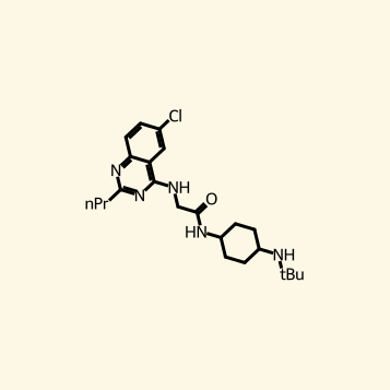 CCCc1nc(NCC(=O)NC2CCC(NC(C)(C)C)CC2)c2cc(Cl)ccc2n1